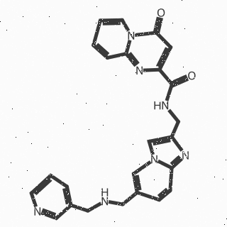 O=C(NCc1cn2cc(CNCc3cccnc3)ccc2n1)c1cc(=O)n2ccccc2n1